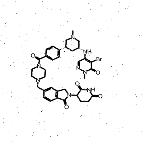 CN1C[C@H](Nc2cnn(C)c(=O)c2Br)C[C@H](c2ccc(C(=O)N3CCN(Cc4ccc5c(c4)CN(C4CCC(=O)NC4=O)C5=O)CC3)cc2)C1